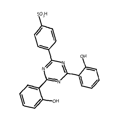 O=S(=O)(O)c1ccc(-c2nc(-c3ccccc3O)nc(-c3ccccc3O)n2)cc1